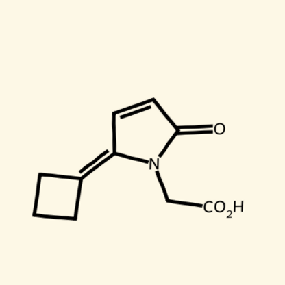 O=C(O)CN1C(=O)C=CC1=C1CCC1